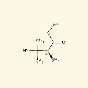 CC(C)(S)[C@H](N)C(=O)SS